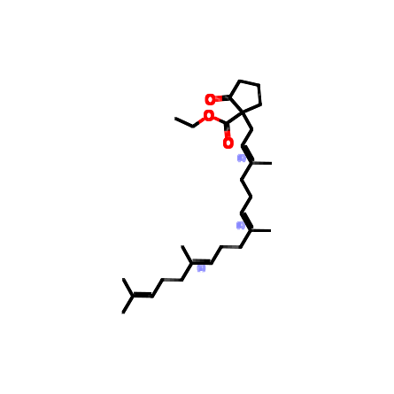 CCOC(=O)C1(C/C=C(\C)CC/C=C(\C)CC/C=C(\C)CCC=C(C)C)CCCC1=O